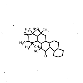 CC1C(=O)C(C)(C)C2C(C3=C(C#N)C(=O)C4C5CCCCC5CCC4C3CC2(C)C)C1(C)C